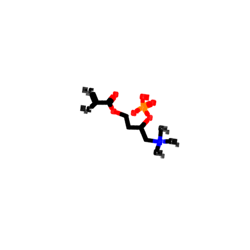 C=C(C)C(=O)O[CH]CC(C[N+](C)(C)C)OP(=O)([O-])O